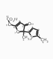 Cc1ccc(C2(C)OC(OC(=O)O)=CC2=O)s1